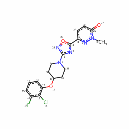 Cn1nc(-c2nc(N3CCC(Oc4cccc(F)c4Cl)CC3)no2)ccc1=O